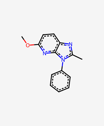 COc1ccc2nc(C)n(-c3ccccc3)c2n1